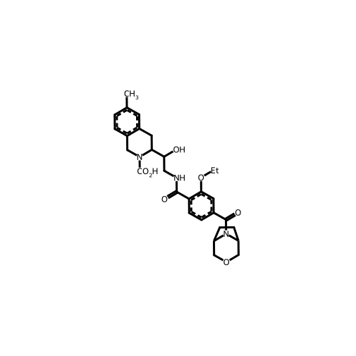 CCOc1cc(C(=O)N2C3CCC2COC3)ccc1C(=O)NCC(O)C1Cc2cc(C)ccc2CN1C(=O)O